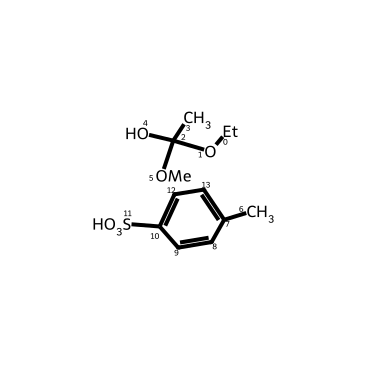 CCOC(C)(O)OC.Cc1ccc(S(=O)(=O)O)cc1